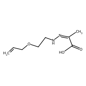 C=CCOCCN/N=C(/C)C(=O)O